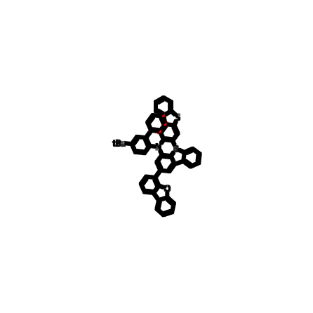 CC(C)(C)c1ccc(N2c3cc4c(cc3B3c5ccccc5-c5cc(-c6cccc7c6oc6ccccc67)cc2c53)sc2ccccc24)c(-c2ccccc2)c1